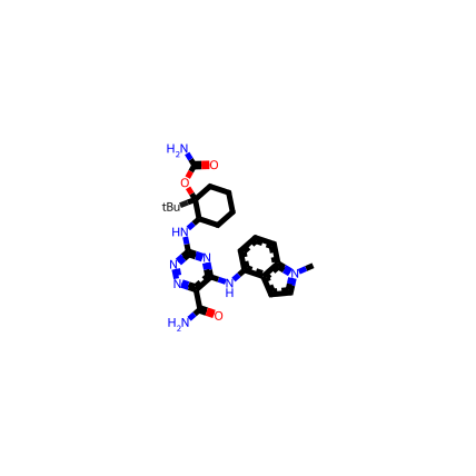 Cn1ccc2c(Nc3nc(NC4CCCCC4(OC(N)=O)C(C)(C)C)nnc3C(N)=O)cccc21